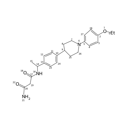 CCOc1ccc(N2CCC(c3ccc(C(C)NC(=O)CC(N)=O)cc3)CC2)cc1